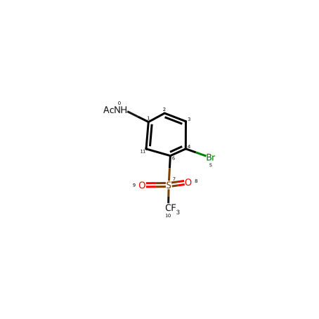 CC(=O)Nc1ccc(Br)c(S(=O)(=O)C(F)(F)F)c1